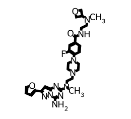 CN(CCN1CCN(c2ccc(C(=O)NCCN(C)C3COC3)cc2F)CC1)c1nc(N)n2nc(-c3ccco3)cc2n1